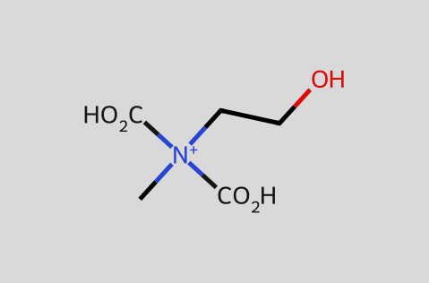 C[N+](CCO)(C(=O)O)C(=O)O